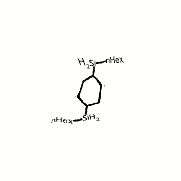 CCCCCC[SiH2]C1[CH]CC([SiH2]CCCCCC)[CH]C1